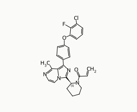 C=CC(=O)N1CCCC[C@H]1c1nc(-c2ccc(Oc3cccc(Cl)c3F)cc2)c2c(C)nccn12